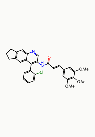 COc1cc(/C=C/C(=O)Nc2cnc3cc4c(cc3c2-c2ccccc2Cl)CCC4)cc(OC)c1OC(C)=O